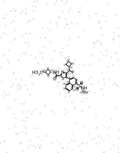 CC(C)(C)NS(=O)(=O)c1ccc(-c2sc(C(=O)N[C@H]3C[C@H](C(=O)O)C3)nc2C(F)C2CCC2)c2ccccc12